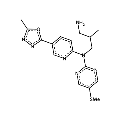 CSc1cnc(N(CC(C)CN)c2ccc(-c3nnc(C)o3)cn2)nc1